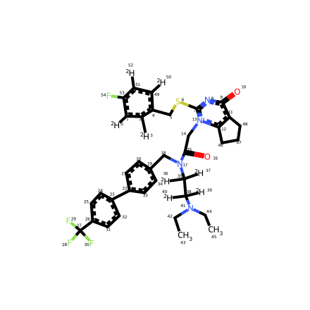 [2H]c1c([2H])c(CSc2nc(=O)c3c(n2CC(=O)N(Cc2ccc(-c4ccc(C(F)(F)F)cc4)cc2)C([2H])([2H])C([2H])([2H])N(CC)CC)CCC3)c([2H])c([2H])c1F